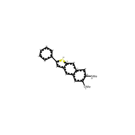 COc1cc2cc3cc(-c4ccccc4)sc3cc2cc1SC